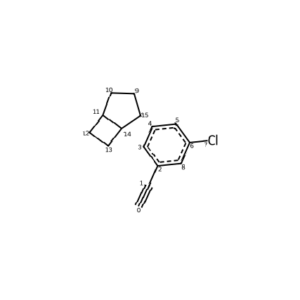 C#Cc1cccc(Cl)c1.C1CC2CCC2C1